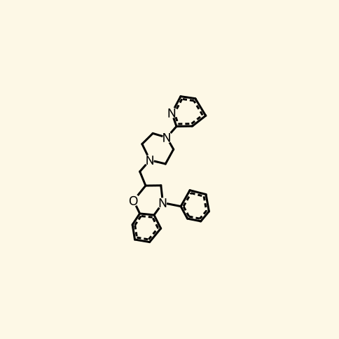 c1ccc(N2CC(CN3CCN(c4ccccn4)CC3)Oc3ccccc32)cc1